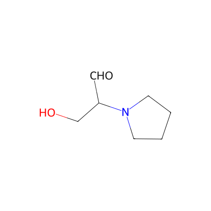 O=CC(CO)N1CCCC1